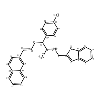 CC(NCc1cc2ccccc2s1)C(CC=Cc1ccc2ccccc2c1)c1ccc(Cl)cc1